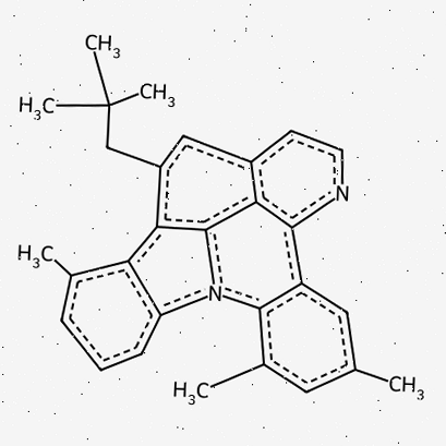 Cc1cc(C)c2c(c1)c1nccc3cc(CC(C)(C)C)c4c5c(C)cccc5n2c4c31